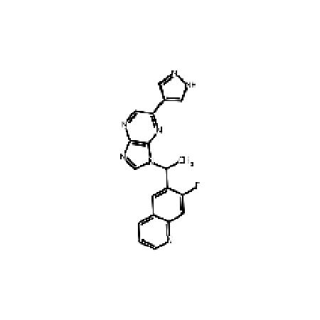 CC(c1cc2cccnc2cc1F)n1cnc2ncc(-c3cn[nH]c3)nc21